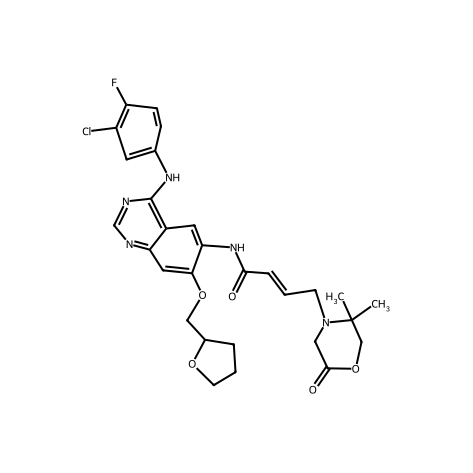 CC1(C)COC(=O)CN1CC=CC(=O)Nc1cc2c(Nc3ccc(F)c(Cl)c3)ncnc2cc1OCC1CCCO1